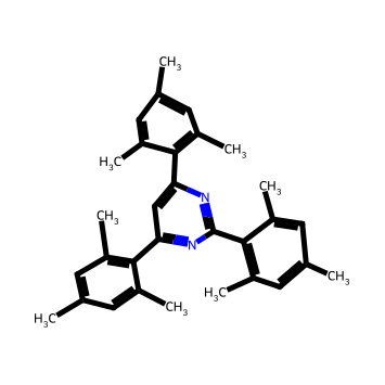 Cc1cc(C)c(-c2cc(-c3c(C)cc(C)cc3C)nc(-c3c(C)cc(C)cc3C)n2)c(C)c1